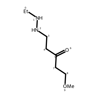 CCNNCCC(=O)CCOC